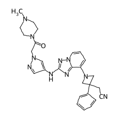 CN1CCN(C(=O)Cn2cc(Nc3nc4c(N5CC(CC#N)(c6ccccc6)C5)cccn4n3)cn2)CC1